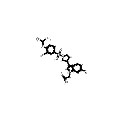 CC(C)Oc1ccc(S(=O)(=O)N2CCC(c3cn(CC(=O)O)c4cc(Cl)ccc34)C2)cc1F